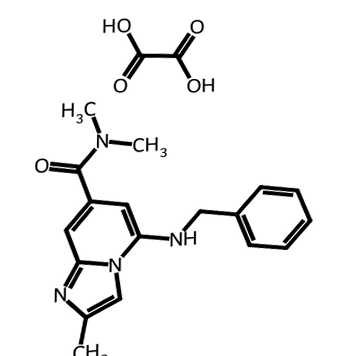 Cc1cn2c(NCc3ccccc3)cc(C(=O)N(C)C)cc2n1.O=C(O)C(=O)O